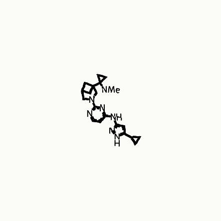 CNC1(C23CC(CN(c4nccc(Nc5cc(C6CC6)[nH]n5)n4)C2)C3)CC1